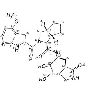 COc1ccnc2[nH]c(C(=O)N3C[C@@H]4CCC[C@@H]4[C@H]3C(=O)N[C@@H](C[C@@H]3CCNC3=O)C(=O)CO)cc12